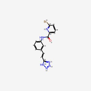 O=C(Nc1cccc(/C=C/c2nnn[nH]2)c1)c1cccc(Br)n1